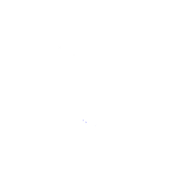 Cc1ccc(C/C(=C/F)CN)cc1F.Cl